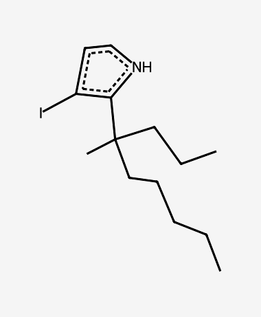 CCCCCC(C)(CCC)c1[nH]ccc1I